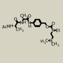 CCN(CCN(C)C)C(=O)OCc1ccc(NC(=O)[C@H](C)NC(=O)[C@H](C)NC(C)=O)cc1